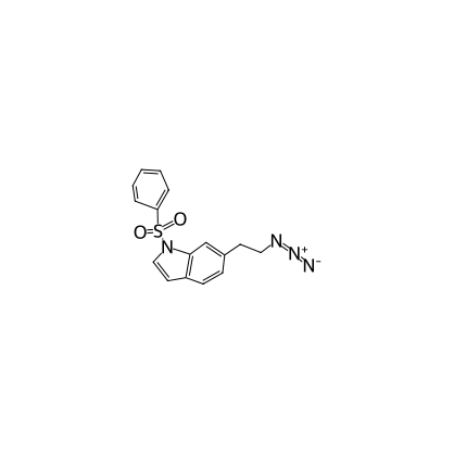 [N-]=[N+]=NCCc1ccc2ccn(S(=O)(=O)c3ccccc3)c2c1